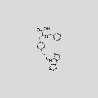 O=C(O)C(Cc1ccc(CCCn2c3sccc3c3ccsc32)cc1)OCc1ccccc1